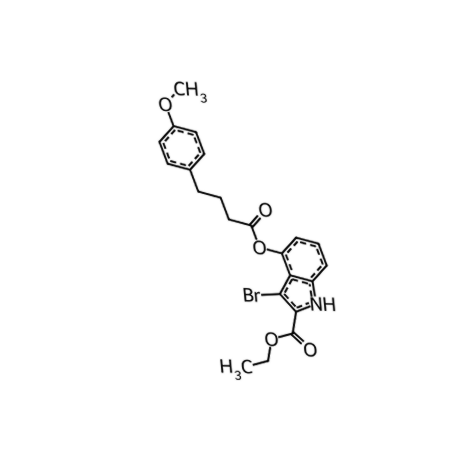 CCOC(=O)c1[nH]c2cccc(OC(=O)CCCc3ccc(OC)cc3)c2c1Br